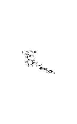 COBNCCCc1cccc(CC(C)(C)CO)c1